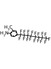 Cc1cc(C(F)(F)C(F)(F)C(F)(F)C(F)(F)C(F)(F)C(F)(F)C(F)(F)C(F)(F)F)ccc1N